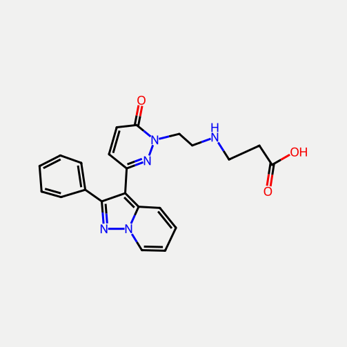 O=C(O)CCNCCn1nc(-c2c(-c3ccccc3)nn3ccccc23)ccc1=O